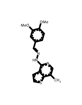 COc1ccc(C=NNc2ncc(C)c3sccc23)cc1OC